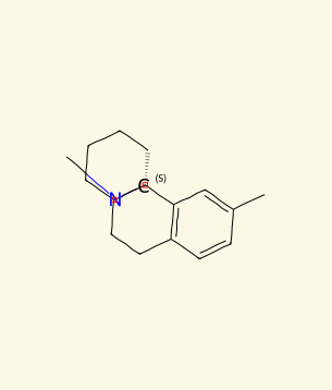 Cc1ccc2c(c1)[C@]13CCCCC1(CC2)N(C)C3